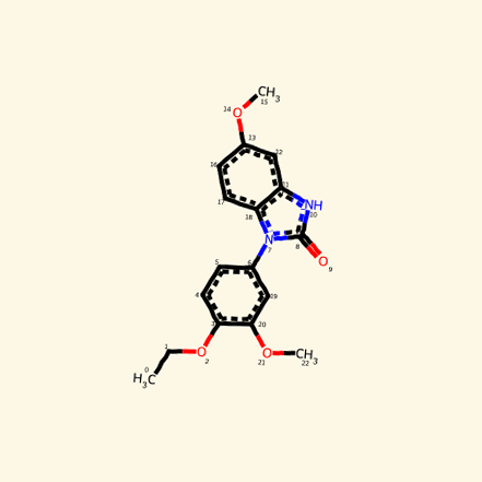 CCOc1ccc(-n2c(=O)[nH]c3cc(OC)ccc32)cc1OC